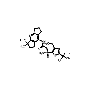 COCc1nc(C(C)(C)O)sc1[S@](N)(=O)=NC(=O)Nc1c2c(nc3c1CCC3(C)C)CCC2